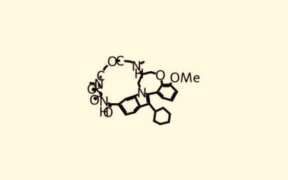 COc1cccc2c1OC[C@H]1Cn3c-2c(C2CCCCC2)c2ccc(cc23)C(=O)NS(=O)(=O)N(C)CCOCCN1C